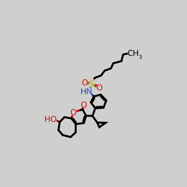 CCCCCCCCS(=O)(=O)Nc1cccc(C(c2cc3c(oc2=O)CC(O)CCCC3)C2CC2)c1